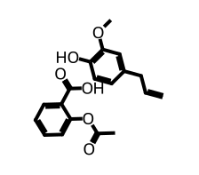 C=CCc1ccc(O)c(OC)c1.CC(=O)Oc1ccccc1C(=O)O